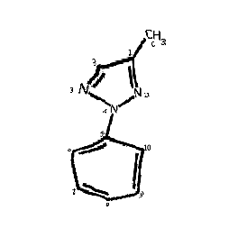 Cc1[c]nn(-c2ccccc2)n1